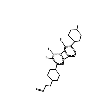 C=CCCC1CCC(c2cc3c(c(F)c2F)-c2c-3ccc(C3CCC(C)CC3)c2F)CC1